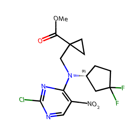 COC(=O)C1(CN(c2nc(Cl)ncc2[N+](=O)[O-])[C@@H]2CCC(F)(F)C2)CC1